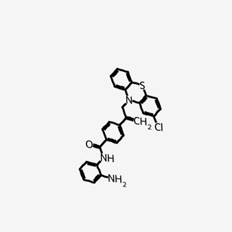 C=C(CN1c2ccccc2Sc2ccc(Cl)cc21)c1ccc(C(=O)Nc2ccccc2N)cc1